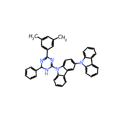 Cc1cc(C)cc(C2=NC(c3ccccc3)NC(n3c4ccccc4c4cc(-n5c6ccccc6c6ccccc65)ccc43)=N2)c1